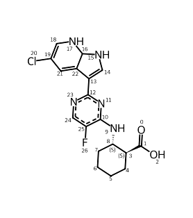 O=C(O)[C@H]1CCCC[C@@H]1Nc1nc(C2=CNC3NC=C(Cl)C=C23)ncc1F